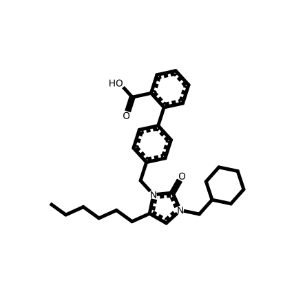 CCCCCCc1cn(CC2CCCCC2)c(=O)n1Cc1ccc(-c2ccccc2C(=O)O)cc1